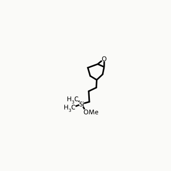 CO[Si](C)(C)CCCC1CCC2OC2C1